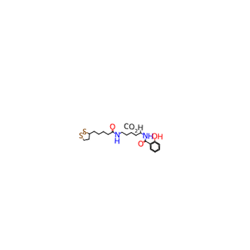 O=C(CCCCC1CCSS1)NCCCCC(NC(=O)c1ccccc1O)C(=O)O